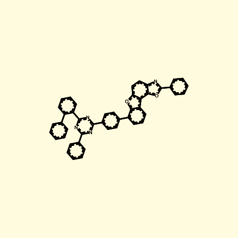 c1ccc(-c2nc(-c3ccc(-c4cccc5c4oc4ccc6nc(-c7ccccc7)oc6c45)cc3)nc(-c3ccccc3-c3ccccc3)n2)cc1